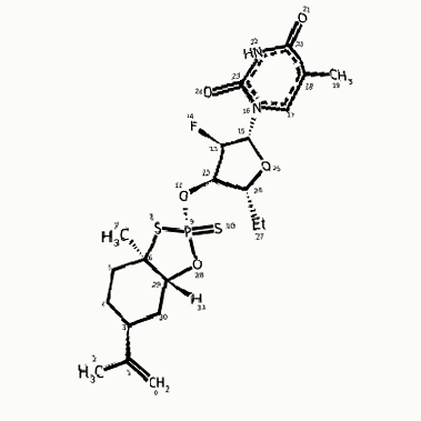 C=C(C)[C@H]1CC[C@@]2(C)S[P@](=S)(O[C@H]3[C@@H](F)[C@H](n4cc(C)c(=O)[nH]c4=O)O[C@@H]3CC)O[C@@H]2C1